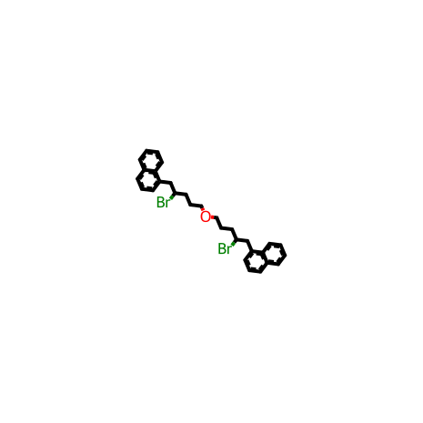 BrC(CCCOCCCC(Br)Cc1cccc2ccccc12)Cc1cccc2ccccc12